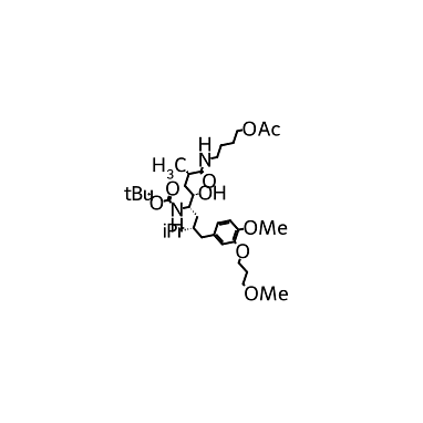 COCCCOc1cc(C[C@@H](C[C@H](NC(=O)OC(C)(C)C)[C@@H](O)C[C@@H](C)C(=O)NCCCCOC(C)=O)C(C)C)ccc1OC